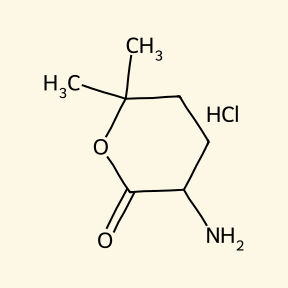 CC1(C)CCC(N)C(=O)O1.Cl